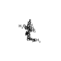 CC[C@H](C)[C@@H](CNc1ccc(F)cc1)NC(=O)[C@@H](C[C@H](O)[C@H](COCc1ccc(C)c(OCCCOC)c1)N=[N+]=[N-])C(C)C